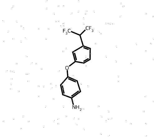 Nc1ccc(Oc2cccc(C(C(F)(F)F)C(F)(F)F)c2)cc1